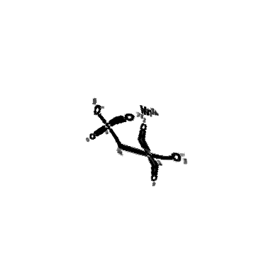 O=S(=O)([O-])CS(=O)(=O)[O-].[Mn+2]